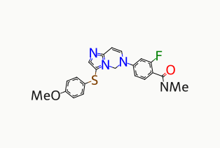 CNC(=O)c1ccc(N2C=Cc3ncc(Sc4ccc(OC)cc4)n3C2)cc1F